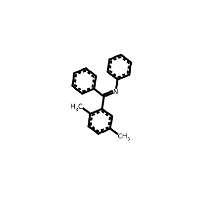 Cc1ccc(C)c(/C(=N/c2ccccc2)c2ccccc2)c1